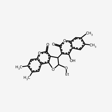 CCOC1Oc2c(c(=O)oc3cc(C)c(C)cc23)C1c1c(O)c2cc(C)c(C)cc2oc1=O